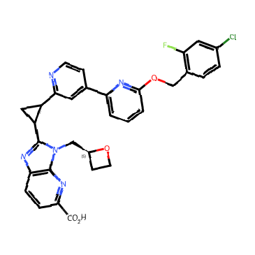 O=C(O)c1ccc2nc(C3CC3c3cc(-c4cccc(OCc5ccc(Cl)cc5F)n4)ccn3)n(C[C@@H]3CCO3)c2n1